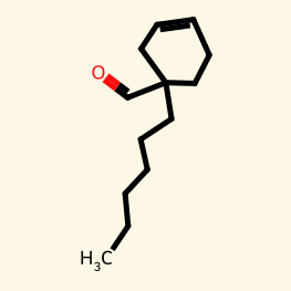 CCCCCCC1(C=O)CC=CCC1